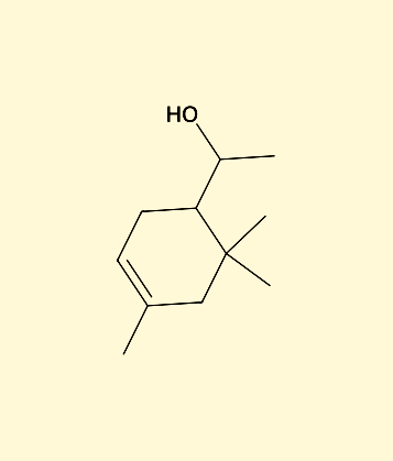 CC1=CCC(C(C)O)C(C)(C)C1